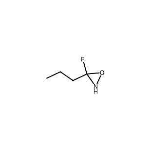 CCCC1(F)NO1